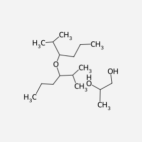 CC(O)CO.CCCC(OC(CCC)C(C)C)C(C)C